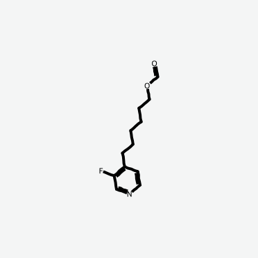 O=COCCCCCCc1ccncc1F